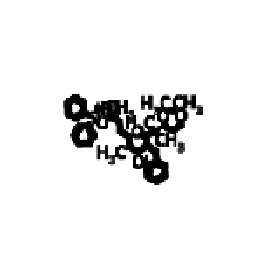 CC(CCC[C@H](C)[C@@H](O)C(Cc1ccccc1)C(=O)C(C)(C)[C@@H]1CCOC(C)(C)O1)O[Si](c1ccccc1)(c1ccccc1)C(C)(C)C